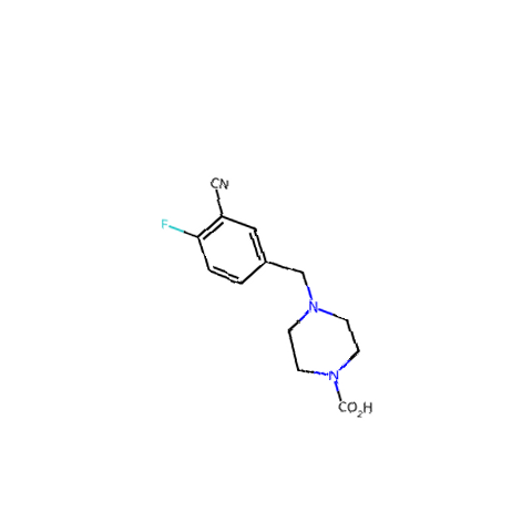 N#Cc1cc(CN2CCN(C(=O)O)CC2)ccc1F